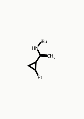 C=C(NC(C)CC)C1CC1CC